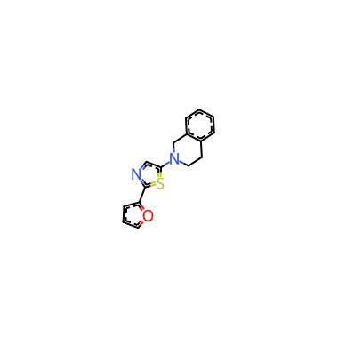 c1coc(-c2ncc(N3CCc4ccccc4C3)s2)c1